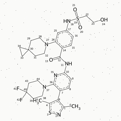 Cc1nsc(C)c1-c1ccc(NC(=O)c2ccc(NS(=O)(=O)CCO)cc2N2CCC3(CC2)CC3)nc1N1CCC(F)(F)CC1